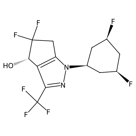 O[C@H]1c2c(C(F)(F)F)nn([C@@H]3C[C@H](F)C[C@H](F)C3)c2CC1(F)F